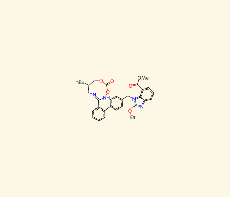 CCCCC1C/N=C(\c2ccccc2-c2ccc(Cn3c(OCC)nc4cccc(C(=O)OC)c43)cc2)NOC(=O)OC1